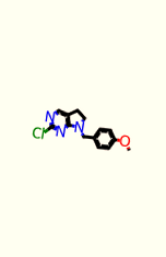 COc1ccc(CN2CCc3cnc(Cl)nc32)cc1